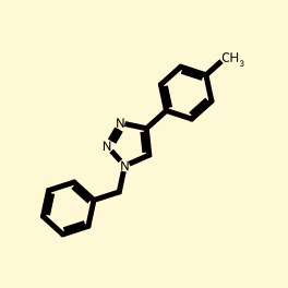 Cc1ccc(-c2cn(Cc3ccccc3)nn2)cc1